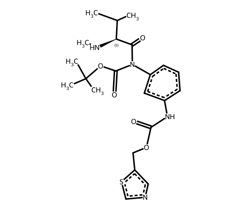 CN[C@H](C(=O)N(C(=O)OC(C)(C)C)c1cccc(NC(=O)OCc2cncs2)c1)C(C)C